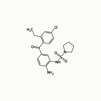 CCc1cc(Cl)ccc1C(=O)c1ccc(N)c(NS(=O)(=O)N2CCCC2)c1